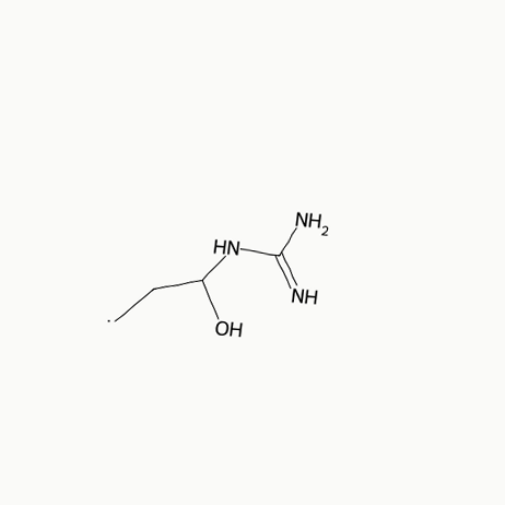 [CH2]CC(O)NC(=N)N